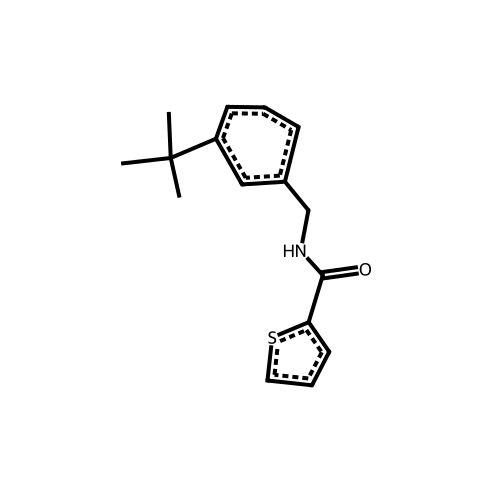 CC(C)(C)c1cccc(CNC(=O)c2cccs2)c1